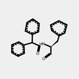 O=C[C@H](Cc1ccccc1)NC(=O)C(c1ccccc1)c1ccccc1